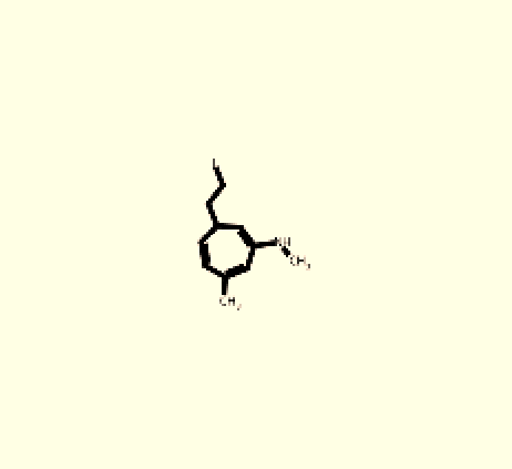 CNC1=CC(CCI)C=CC(C)=C1